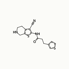 N#Cc1c(NC(=O)CCc2ccsc2)sc2c1CCNC2